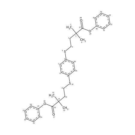 CC(C)(CCSc1ccc(SCCC(C)(C)C(=O)Oc2ccccc2)cc1)C(=O)Oc1ccccc1